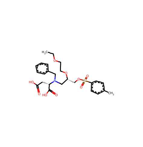 CCOCCO[C@H](COS(=O)(=O)c1ccc(C)cc1)CN(Cc1ccccc1)[C@@H](CC(=O)O)C(=O)O